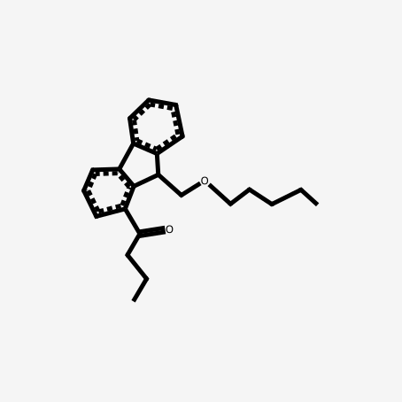 CCCCCOCC1c2ccccc2-c2cccc(C(=O)CCC)c21